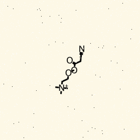 C[N+](C)(C)CCOOC(=O)CC#N